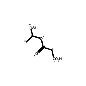 CCCCC(C)OC(=O)CC(=O)O